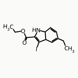 CCOC(=O)C1=C(I)C2C=C(CC)C=CC2N1